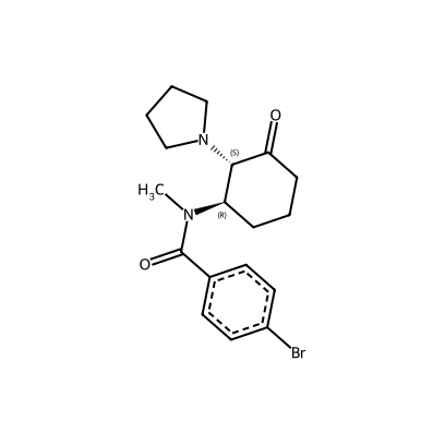 CN(C(=O)c1ccc(Br)cc1)[C@@H]1CCCC(=O)[C@H]1N1CCCC1